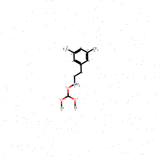 CCOC(OCC)O[SiH2]CCc1cc(C(F)(F)F)cc(C(F)(F)F)c1